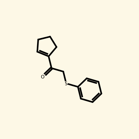 O=C(CSc1ccccc1)C1=CCCC1